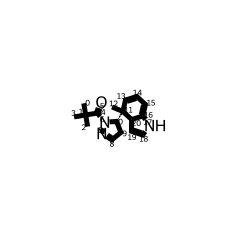 CC(C)(C)C(=O)N1N=CC[C@H]1C1(C)C=CC=C2NC=CC21